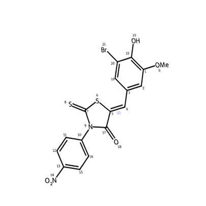 COc1cc(/C=C2\SC(=S)N(c3ccc([N+](=O)[O-])cc3)C2=O)cc(Br)c1O